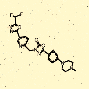 CN1CCN(c2ccc(-c3nn(Cc4ccc(-c5nnc(C(F)F)o5)cn4)c(=O)o3)cc2)CC1